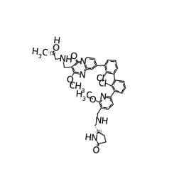 COc1nc(-c2cccc(-c3cccc(-c4ccn5c(=O)c(CNC[C@H](C)O)c(OC)nc5c4)c3Cl)c2Cl)ccc1CNC[C@@H]1CCC(=O)N1